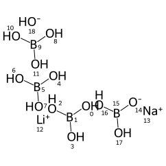 OB(O)O.OB(O)O.OB(O)O.[Li+].[Na+].[O-]B(O)O.[OH-]